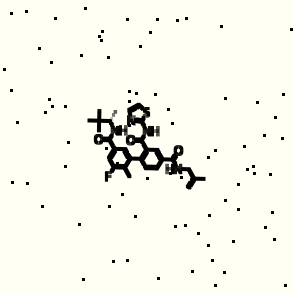 C=C(C)CNC(=O)c1ccc(-c2cc(C(=O)N[C@@H](C)C(C)(C)C)cc(F)c2C)c(C(=O)Nc2nccs2)c1